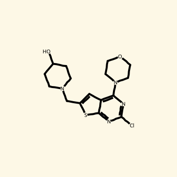 OC1CCN(Cc2cc3c(N4CCOCC4)nc(Cl)nc3s2)CC1